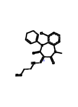 COCCN/C=C1/C(=O)N(C)c2cccc(Cl)c2N(C2=CCCC=C2)C1=O